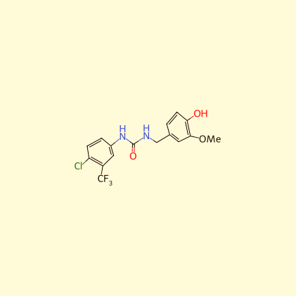 COc1cc(CNC(=O)Nc2ccc(Cl)c(C(F)(F)F)c2)ccc1O